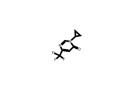 O=c1cc(C(F)(F)F)ncn1C1CC1